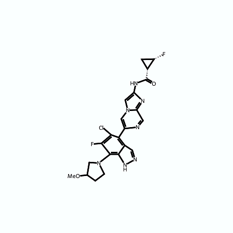 COC1CCN(c2c(F)c(Cl)c(-c3cn4cc(NC(=O)[C@@H]5C[C@@H]5F)nc4cn3)c3cn[nH]c23)C1